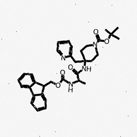 CC(NC(=O)OCC1c2ccccc2-c2ccccc21)C(=O)NC1(Cc2ccccn2)CCN(C(=O)OC(C)(C)C)CC1